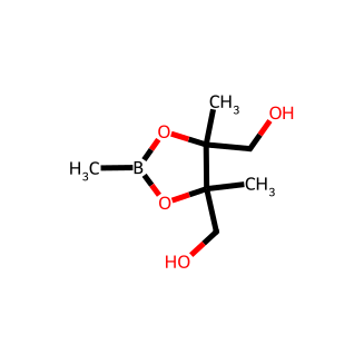 CB1OC(C)(CO)C(C)(CO)O1